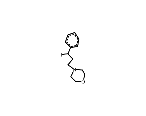 IC(CCN1CCOCC1)c1ccccc1